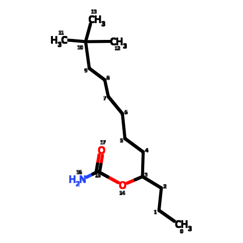 CCCC(CCCCCCC(C)(C)C)OC(N)=O